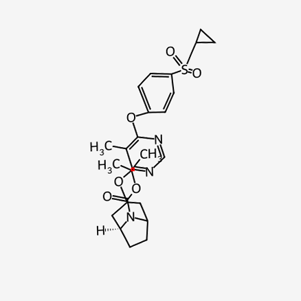 Cc1c(Oc2ccc(S(=O)(=O)C3CC3)cc2)ncnc1OC1CC2CC[C@@H](C1)N2C(=O)OC(C)C